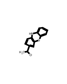 CC([O])c1ccc2c(c1)Sc1ccccc1N2